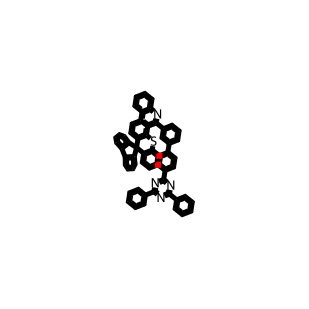 c1ccc(-c2nc(-c3ccccc3)nc(-c3ccc(-c4cccc(-c5nc6ccccc6c6ccc7c(c56)Sc5ccccc5C75c6ccccc6-c6ccccc65)c4)cc3)n2)cc1